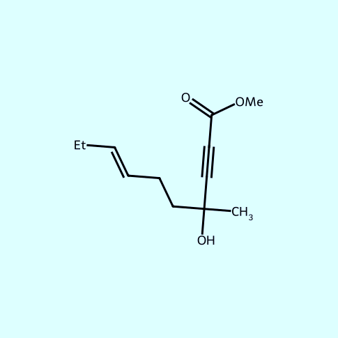 CCC=CCCC(C)(O)C#CC(=O)OC